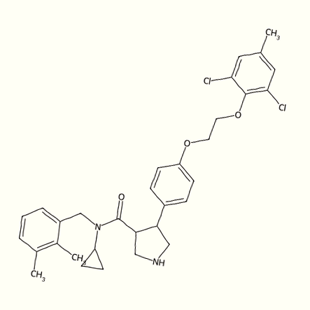 Cc1cc(Cl)c(OCCOc2ccc(C3CNCC3C(=O)N(Cc3cccc(C)c3C)C3CC3)cc2)c(Cl)c1